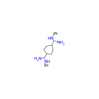 CC(C)NC(N)C1CCC(C(N)NC(C)C)CC1